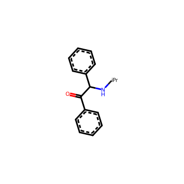 CC(C)NC(C(=O)c1ccccc1)c1ccccc1